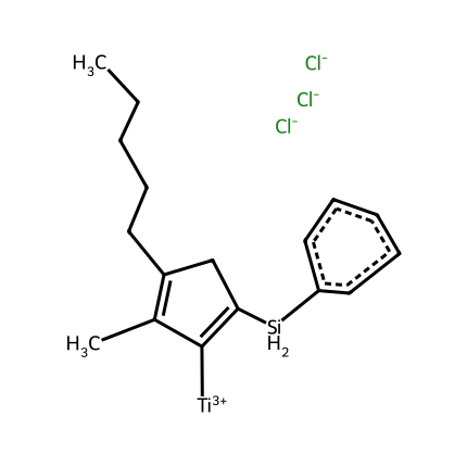 CCCCCC1=C(C)[C]([Ti+3])=C([SiH2]c2ccccc2)C1.[Cl-].[Cl-].[Cl-]